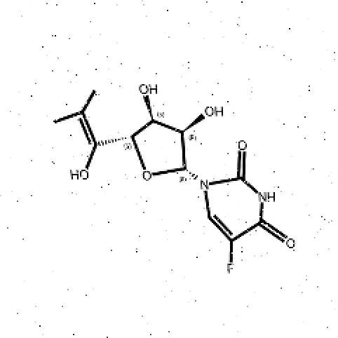 CC(C)=C(O)[C@H]1O[C@@H](n2cc(F)c(=O)[nH]c2=O)[C@H](O)[C@@H]1O